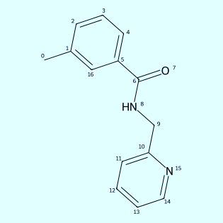 Cc1cccc(C(=O)NCc2ccccn2)c1